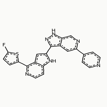 Fc1ccc(-c2nccc3[nH]c(-c4n[nH]c5cnc(-c6ccncc6)cc45)cc23)s1